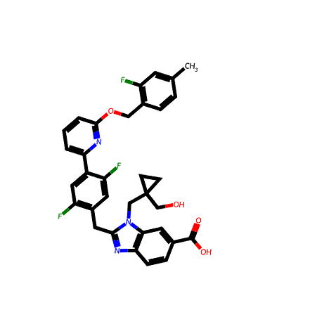 Cc1ccc(COc2cccc(-c3cc(F)c(Cc4nc5ccc(C(=O)O)cc5n4CC4(CO)CC4)cc3F)n2)c(F)c1